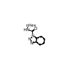 CCCCCCNC(=O)n1nnc2ccccc21